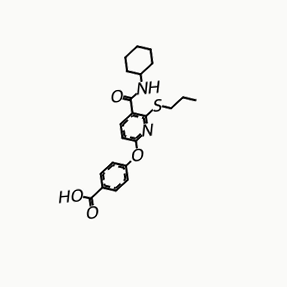 CCCSc1nc(Oc2ccc(C(=O)O)cc2)ccc1C(=O)NC1CCCCC1